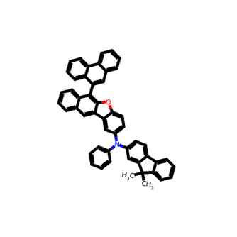 CC1(C)c2ccccc2-c2ccc(N(c3ccccc3)c3ccc4oc5c(-c6cc7ccccc7c7ccccc67)c6ccccc6cc5c4c3)cc21